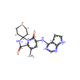 Cc1cc(Nc2ncnc3[nH]ccc23)c(=O)n2c1C(=O)NC21CCSCC1